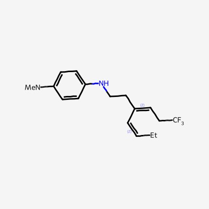 CC/C=C\C(=C/CC(F)(F)F)CCNc1ccc(NC)cc1